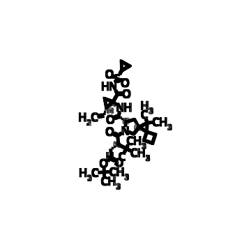 C=C[C@@H]1C[C@]1(NC(=O)[C@@H]1C[C@@]2(CN1C(=O)[C@@H](CC(=O)OC(C)(C)C)C(C)(C)C)C(C)(C)C21CCC1)C(=O)NS(=O)(=O)C1CC1